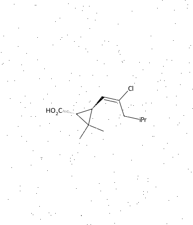 CC(C)C/C(Cl)=C\[C@@H]1[C@@H](C(=O)O)C1(C)C